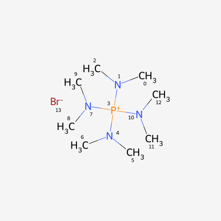 CN(C)[P+](N(C)C)(N(C)C)N(C)C.[Br-]